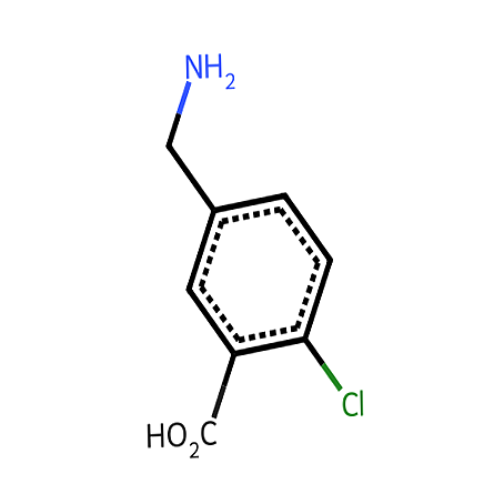 NCc1ccc(Cl)c(C(=O)O)c1